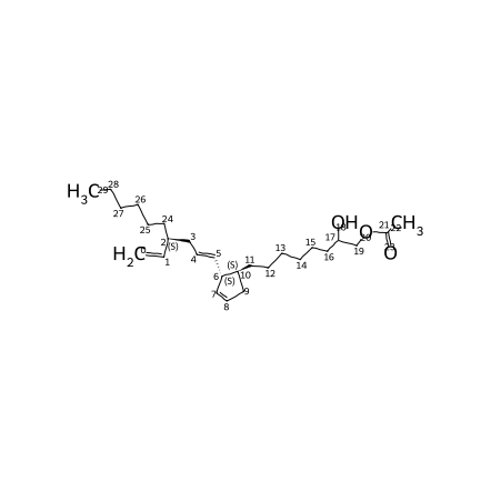 C=C[C@H](CC=C[C@H]1C=CC[C@@H]1CCCCCCC(O)COC(C)=O)CCCCCC